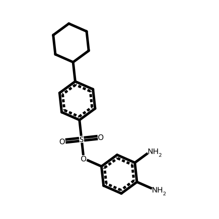 Nc1ccc(OS(=O)(=O)c2ccc(C3CCCCC3)cc2)cc1N